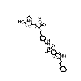 C[C@H](O[C@@H](CCc1ccc(CNS(=O)(=O)c2cc3c(cc2Cl)NC(CCc2ccccc2)NS3)cc1)C(=O)O)C(=O)N1CCC[C@H]1C(=O)O